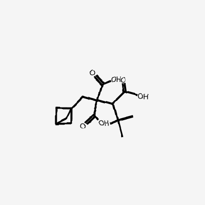 CC(C)(C)C(C(=O)O)C(CC12CC(C1)C2)(C(=O)O)C(=O)O